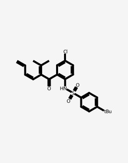 C=C/C=C\C(C(=O)c1cc(Cl)ccc1NS(=O)(=O)c1ccc(C(C)(C)C)cc1)=C(C)C